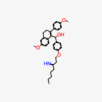 CCCCCC(=N)CCOc1ccc(C(O)C2=C(c3ccc(OC)cc3)CCc3cc(OC)ccc32)cc1